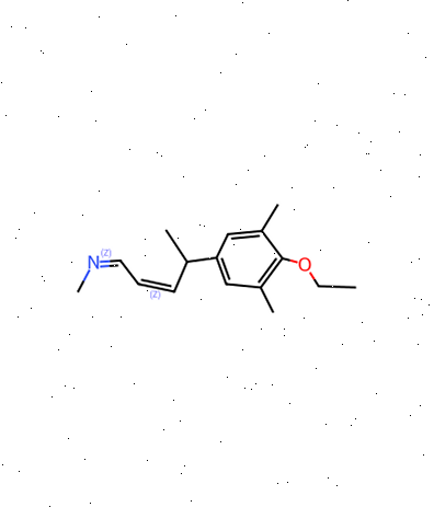 CCOc1c(C)cc(C(C)/C=C\C=N/C)cc1C